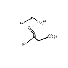 CC(=O)CC(=O)O.CCCC(=O)CC(=O)O